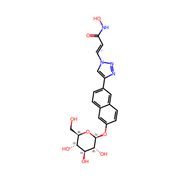 O=C(/C=C/n1cc(-c2ccc3cc(O[C@@H]4O[C@H](CO)[C@@H](O)[C@H](O)[C@H]4O)ccc3c2)nn1)NO